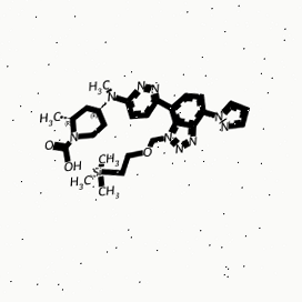 C[C@@H]1C[C@H](N(C)c2ccc(-c3ccc(-n4cccn4)c4nnn(COCC[Si](C)(C)C)c34)nn2)CCN1C(=O)O